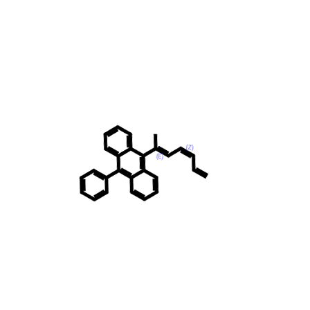 C=C/C=C\C=C(/C)c1c2ccccc2c(-c2ccccc2)c2ccccc12